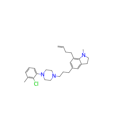 C=CCCc1cc(CCCN2CCN(c3cccc(C)c3Cl)CC2)cc2c1N(C)CC2